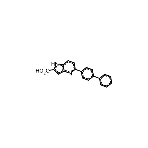 O=C(O)c1cc2nc(-c3ccc(-c4ccccc4)cc3)ccc2[nH]1